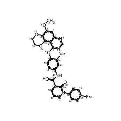 COc1cc2ncnc(Oc3ccc(NC(=O)c4cccn(-c5ccc(F)cc5)c4=O)cc3F)c2c2c1OCCO2